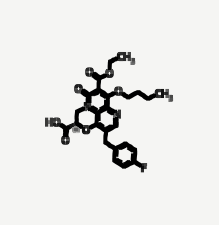 CCCCOc1c(C(=O)OCC)c(=O)n2c3c(c(Cc4ccc(F)cc4)cnc13)O[C@@H](C(=O)O)C2